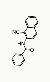 N#Cc1c(NC(=O)c2ccccc2)ccc2ccccc12